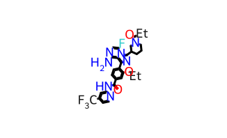 CCOc1cc(C(=O)Nc2cc(C(F)(F)F)ccn2)ccc1-c1nc(C2CCCN(C(=O)CC)C2)n2c(F)cnc(N)c12